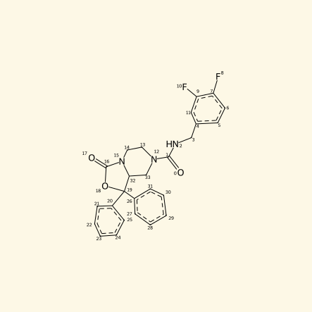 O=C(NCc1ccc(F)c(F)c1)N1CCN2C(=O)OC(c3ccccc3)(c3ccccc3)C2C1